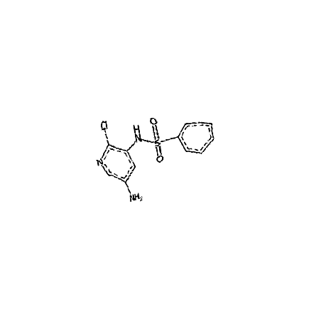 Nc1cnc(Cl)c(NS(=O)(=O)c2ccccc2)c1